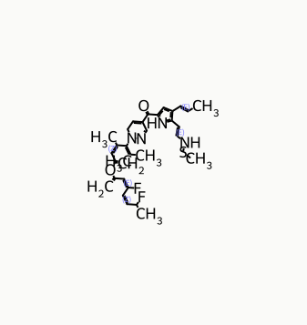 C=C(/C=C(/C)C(=C(C)C)N1CC=C(C(=O)c2cc(/C=C/C)c(/C=C/NSC)[nH]2)C=N1)OC(=C)/C=C(F)\C=C/C(C)F